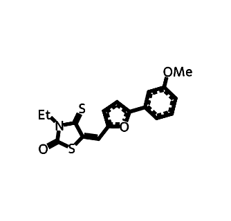 CCN1C(=O)SC(=Cc2ccc(-c3cccc(OC)c3)o2)C1=S